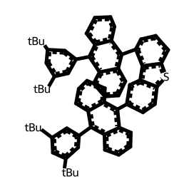 CC(C)(C)c1cc(-c2c3ccccc3c(-c3ccc4sc5cccc(-c6c7ccccc7c(-c7cc(C(C)(C)C)cc(C(C)(C)C)c7)c7ccccc67)c5c4c3)c3ccccc23)cc(C(C)(C)C)c1